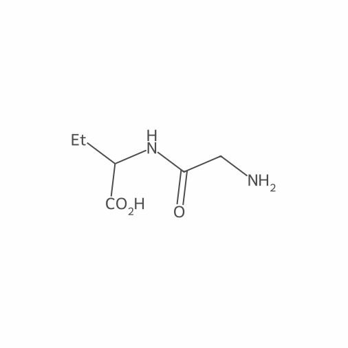 CCC(NC(=O)CN)C(=O)O